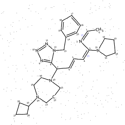 C/C=N\C(=C/C=CC(c1nnnn1Cc1ccccc1)N1CCCN(C2CCC2)CC1)N1CCCC1